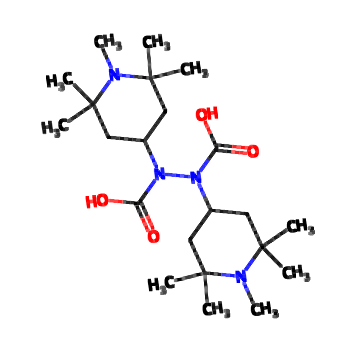 CN1C(C)(C)CC(N(C(=O)O)N(C(=O)O)C2CC(C)(C)N(C)C(C)(C)C2)CC1(C)C